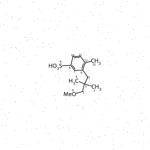 COCC(C)(C)Cc1cc(S(=O)(=O)O)ccc1C